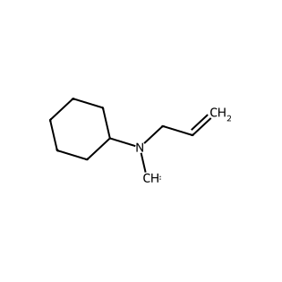 [CH]N(CC=C)C1CCCCC1